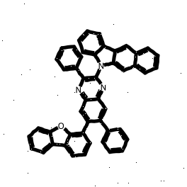 c1ccc(-c2cc3nc(-n4c5ccccc5c5cc6ccccc6cc54)c(-c4ccccc4)nc3cc2-c2cccc3c2oc2ccccc23)cc1